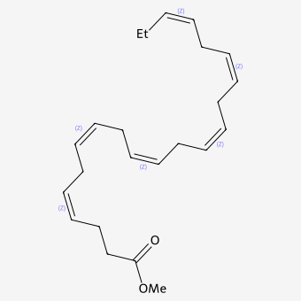 CC/C=C\C/C=C\C/C=C\C/C=C\C/C=C\C/C=C\CCC(=O)OC